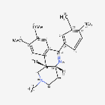 COc1cc2c(cc1OC)[C@H]1CN(C)CC[C@H]1N=C2c1ccc([N+](=O)[O-])c(C)c1